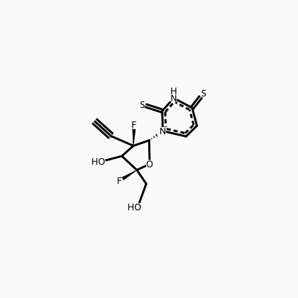 C#C[C@@]1(F)C(O)[C@@](F)(CO)O[C@H]1n1ccc(=S)[nH]c1=S